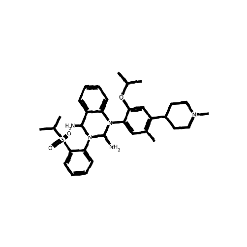 Cc1cc(N2c3ccccc3C(N)N(c3ccccc3S(=O)(=O)C(C)C)C2N)c(OC(C)C)cc1C1CCN(C)CC1